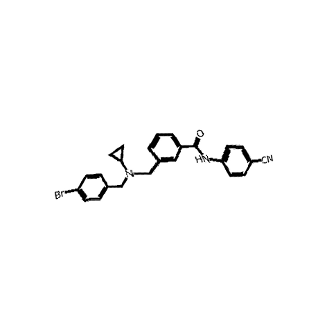 N#Cc1ccc(NC(=O)c2cccc(CN(Cc3ccc(Br)cc3)C3CC3)c2)cc1